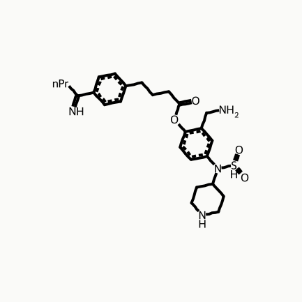 CCCC(=N)c1ccc(CCCC(=O)Oc2ccc(N(C3CCNCC3)[SH](=O)=O)cc2CN)cc1